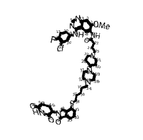 COc1cc2ncnc(Nc3ccc(F)c(Cl)c3)c2cc1NC(=O)CCCN1CCC(N2CCN(CCCCCSc3cccc4c3CN(C3CCC(=O)NC3=O)C4=O)CC2)CC1